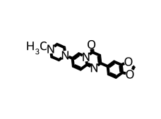 CN1CCN(c2ccc3nc(-c4ccc5c(c4)OCO5)cc(=O)n3c2)CC1